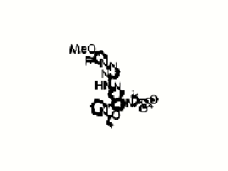 C=CC(=O)N1CCCCC[C@@H]1c1ccc(N2C[C@H](CS(C)(=O)=O)[C@H]2C)c2cnc(Nc3ccnc(N4CC[C@H](OC)[C@H](F)C4)n3)cc12